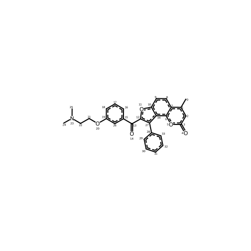 Cc1cc(=O)oc2c1ccc1oc(C(=O)c3cccc(OCCN(C)C)c3)c(-c3ccccc3)c12